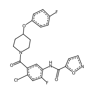 O=C(Nc1cc(C(=O)N2CCC(Oc3ccc(F)cc3)CC2)c(Cl)cc1F)c1ccno1